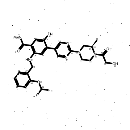 CNC(=O)c1cc(C#N)c(-c2cnc(N3CCN(C(=O)CO)[C@H](C)C3)nc2)cc1NCc1ccccc1OC(F)F